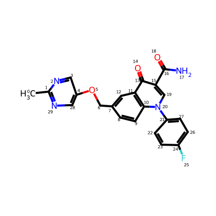 Cc1ncc(OCc2ccc3c(c2)c(=O)c(C(N)=O)cn3-c2ccc(F)cc2)cn1